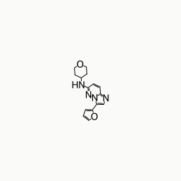 c1coc(-c2cnc3ccc(NC4CCOCC4)nn23)c1